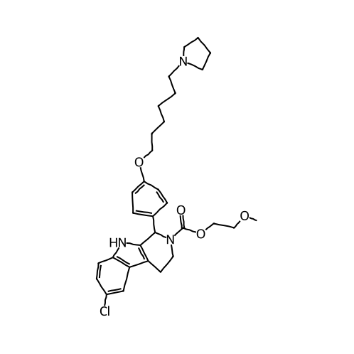 COCCOC(=O)N1CCc2c([nH]c3ccc(Cl)cc23)C1c1ccc(OCCCCCCN2CCCC2)cc1